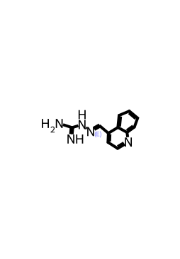 N=C(N)N/N=C/c1ccnc2ccccc12